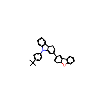 CC(C)(C)c1ccc(N2C3=CC(C4=CCC5Oc6ccccc6C5=C4)=CCC3c3ccccc32)cc1